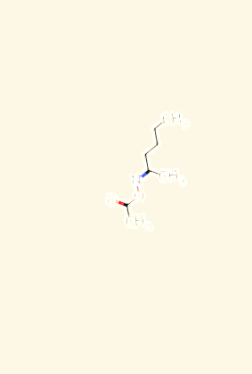 CCCC/C(C)=N/OC(C)=O